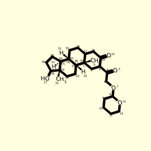 C[C@]12CC(C(=O)COC3CCCCO3)C(=O)CC1CC[C@@H]1[C@H]2CC[C@]2(C)C(O)CC[C@@H]12